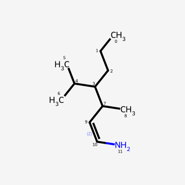 CCCC(C(C)C)C(C)/C=C\N